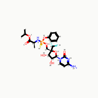 CC(C)OC(=O)[C@H](C)NP(=S)(OC[C@@]1(C(F)F)O[C@@H](n2ccc(N)nc2=O)[C@H](O)[C@@H]1O)Oc1ccccc1